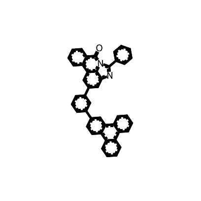 O=c1c2ccccc2c2cc(-c3cccc(-c4ccc5c6ccccc6c6ccccc6c5c4)c3)cc3nc(-c4ccccc4)n1c32